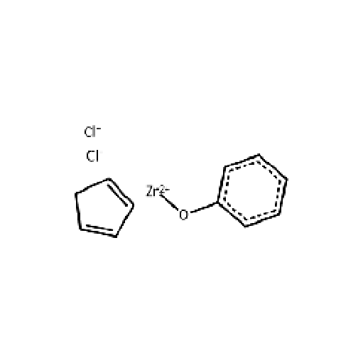 C1=CCC=C1.[Cl-].[Cl-].[Zr+2][O]c1ccccc1